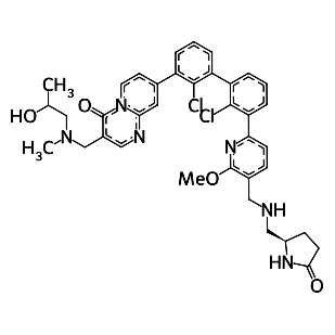 COc1nc(-c2cccc(-c3cccc(-c4ccn5c(=O)c(CN(C)CC(C)O)cnc5c4)c3Cl)c2Cl)ccc1CNC[C@H]1CCC(=O)N1